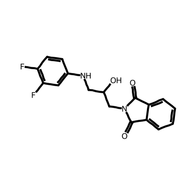 O=C1c2ccccc2C(=O)N1CC(O)CNc1ccc(F)c(F)c1